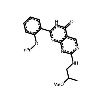 CCCOc1ccccc1-c1nc2nc(NCC(C)OC)ncc2c(=O)[nH]1